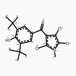 Cn1c(Cl)c(Cl)c(C(=O)c2cc(C(C)(C)C)c(O)c(C(C)(C)C)c2)c1Cl